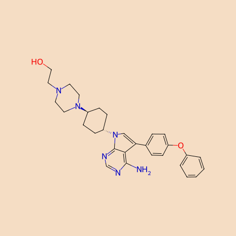 Nc1ncnc2c1c(-c1ccc(Oc3ccccc3)cc1)cn2[C@H]1CC[C@H](N2CCN(CCO)CC2)CC1